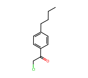 CCCCc1ccc(C(=O)CCl)cc1